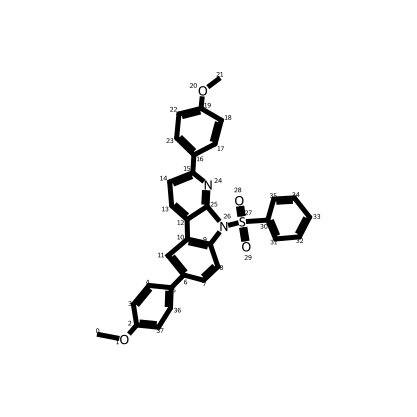 COc1ccc(-c2ccc3c(c2)c2ccc(-c4ccc(OC)cc4)nc2n3S(=O)(=O)c2ccccc2)cc1